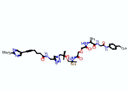 CSc1ncc(C#CCCCC(=O)NCc2cn(CC(C)(C)OCC(C)(S)NC(=O)COCC(=O)NC(C(=O)NCC(=O)Nc3ccc(COC(C)=O)cc3)C(C)C)nn2)cn1